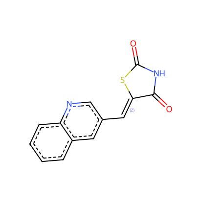 O=C1NC(=O)/C(=C/c2cnc3ccccc3c2)S1